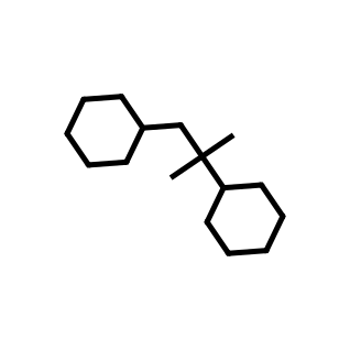 CC(C)(CC1CCCCC1)C1CCCCC1